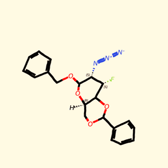 [N-]=[N+]=N[C@H]1C(OCc2ccccc2)O[C@@H]2COC(c3ccccc3)OC2[C@H]1F